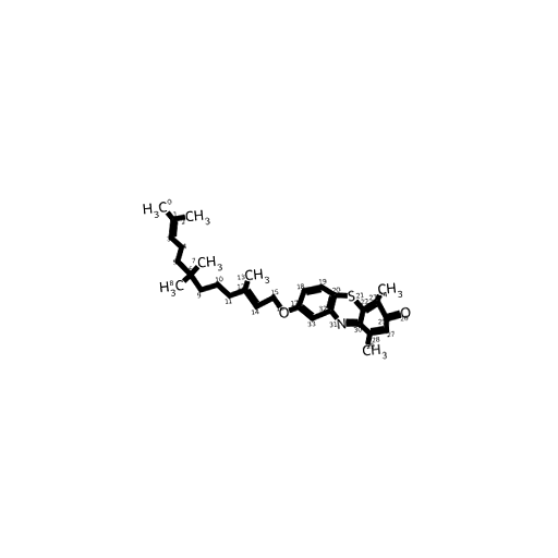 CC(C)=CCCC(C)(C)CCC/C(C)=C/COc1ccc2sc3c(C)c(=O)cc(C)c-3nc2c1